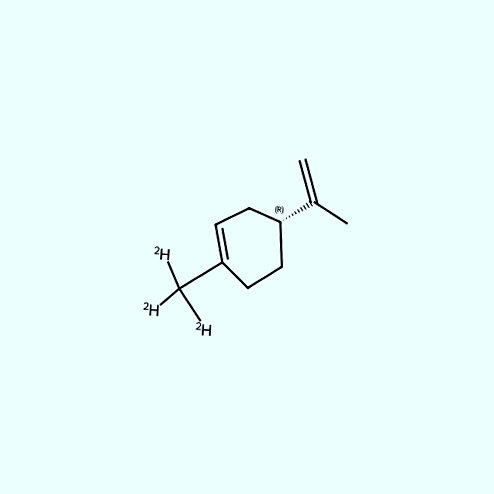 [2H]C([2H])([2H])C1=CC[C@H](C(=C)C)CC1